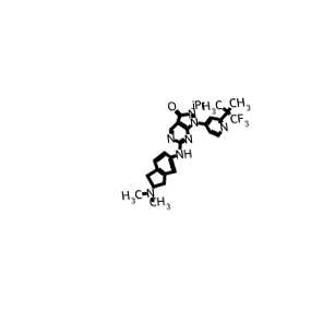 CC(C)n1c(=O)c2cnc(Nc3ccc4c(c3)CC(N(C)C)C4)nc2n1-c1ccnc(C(C)(C)C(F)(F)F)c1